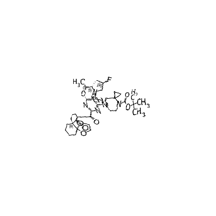 C[C@H](Oc1nc(C(=O)C2CCC[C@@]3(CCCCC34OCCO4)C2=O)nc(N2CCN(C(=O)OC(C)(C)C)C3(CC3)C2)c1Cl)[C@@H]1C[C@@H](F)CN1C